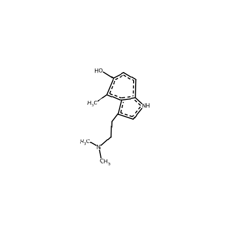 Cc1c(O)ccc2[nH]cc(CCN(C)C)c12